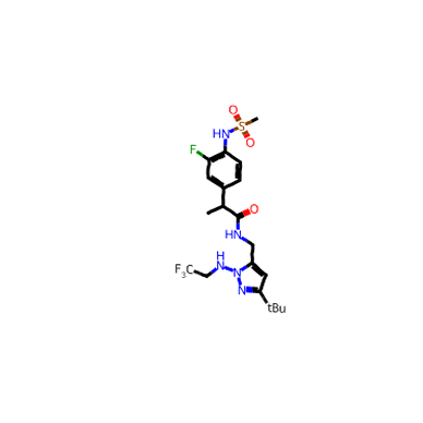 CC(C(=O)NCc1cc(C(C)(C)C)nn1NCC(F)(F)F)c1ccc(NS(C)(=O)=O)c(F)c1